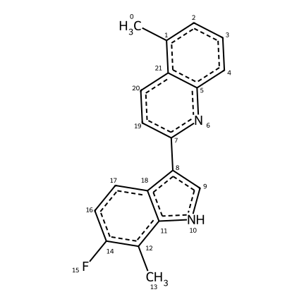 Cc1cccc2nc(-c3c[nH]c4c(C)c(F)ccc34)ccc12